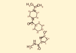 CNC(=O)c1csc(O[C@H]2CC[C@H](C(=O)N3CCN(C(C)C)CC3)CC2)n1